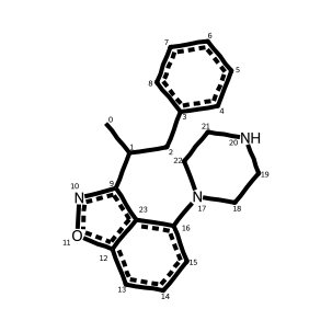 CC(Cc1ccccc1)c1noc2cccc(N3CCNCC3)c12